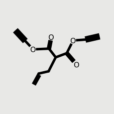 C#COC(=O)C(CC=C)C(=O)OC#C